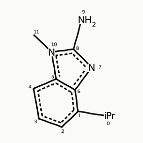 CC(C)c1cccc2c1nc(N)n2C